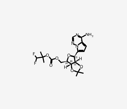 CC1(C)O[C@@H]2[C@H](O1)[C@@H](COC(=O)OC(C)(C)C(F)F)O[C@H]2c1ccc2c(N)ncnn12